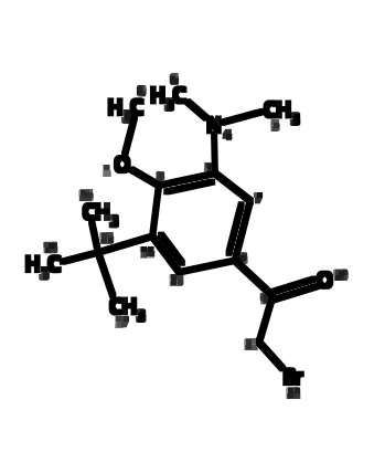 COc1c(N(C)C)cc(C(=O)CBr)cc1C(C)(C)C